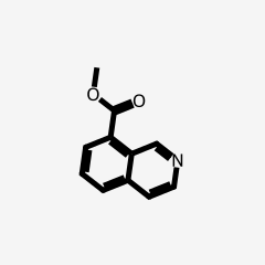 COC(=O)c1cccc2ccncc12